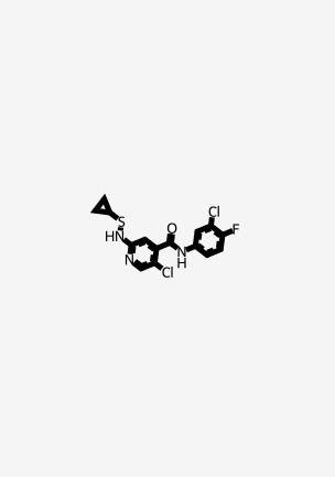 O=C(Nc1ccc(F)c(Cl)c1)c1cc(NSC2CC2)ncc1Cl